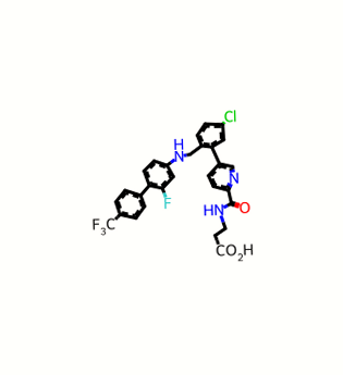 O=C(O)CCNC(=O)c1ccc(-c2cc(Cl)ccc2CNc2ccc(-c3ccc(C(F)(F)F)cc3)c(F)c2)cn1